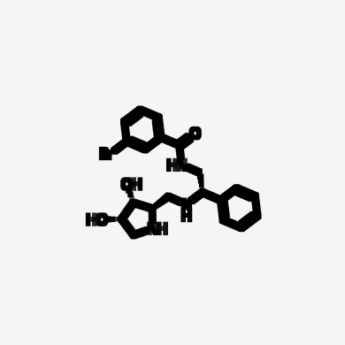 O=C(NC[C@@H](NC[C@H]1NC[C@H](O)[C@@H]1O)c1ccccc1)c1cccc(Br)c1